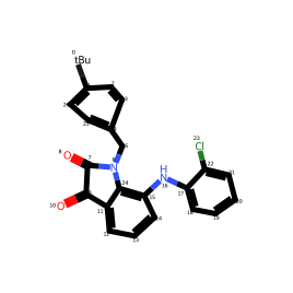 CC(C)(C)c1ccc(CN2C(=O)C(=O)c3cccc(Nc4ccccc4Cl)c32)cc1